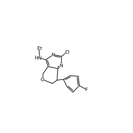 CCNc1nc(Cl)nc2c1COCC2c1ccc(F)cc1